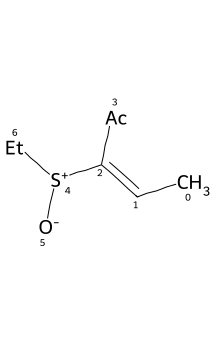 C/C=C(\C(C)=O)[S+]([O-])CC